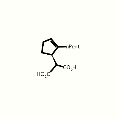 CCCCCC1=CCC[C@@H]1C(C(=O)O)C(=O)O